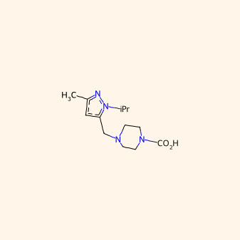 Cc1cc(CN2CCN(C(=O)O)CC2)n(C(C)C)n1